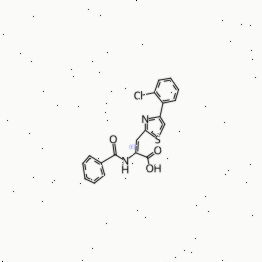 O=C(O)/C(=C\c1nc(-c2ccccc2Cl)cs1)NC(=O)c1ccccc1